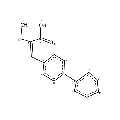 CCC(=Cc1ccc(-c2ccccc2)cc1)C(=O)O